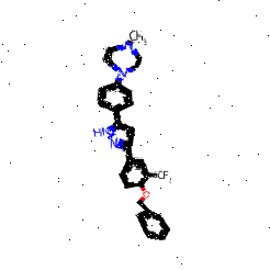 CN1CCN(c2ccc(-c3cc(-c4ccc(OCc5ccccc5)c(C(F)(F)F)c4)n[nH]3)cc2)CC1